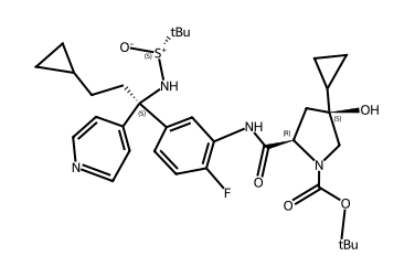 CC(C)(C)OC(=O)N1C[C@@](O)(C2CC2)C[C@@H]1C(=O)Nc1cc([C@](CCC2CC2)(N[S@+]([O-])C(C)(C)C)c2ccncc2)ccc1F